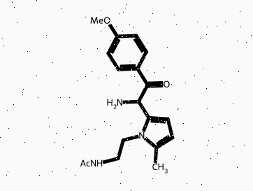 COc1ccc(C(=O)C(N)c2ccc(C)n2CCNC(C)=O)cc1